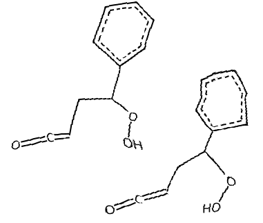 O=C=CCC(OO)c1ccccc1.O=C=CCC(OO)c1ccccc1